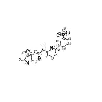 Cc1nc2cnc(Nc3ccnc(-c4cccc(S(C)(=O)=O)c4)n3)cc2n1C(C)C